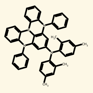 Cc1ccc(N(c2cc3c4c(c2)N(c2ccccc2)c2ccccc2B4c2ccccc2N3c2ccccc2)c2ccc(C)cc2C)c(C)c1